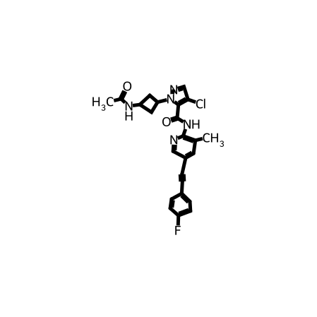 CC(=O)NC1CC(n2ncc(Cl)c2C(=O)Nc2ncc(C#Cc3ccc(F)cc3)cc2C)C1